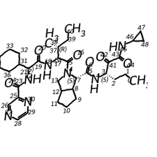 CCC[C@H](NC(=O)[C@@H]1C2CCCC2CN1C(=O)[C@@H](NC(=O)[C@@H](NC(=O)c1cnccn1)C1CCCCC1)[C@H](C)CC)C(=O)C(=O)NC1CC1